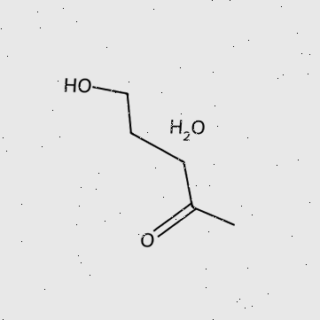 CC(=O)CCCO.O